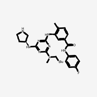 Cc1ccc(C(=O)Nc2ccc(F)cc2)cc1Nc1nc(N[C@H]2CCNC2)nc(N(C)CC(C)(C)C)n1